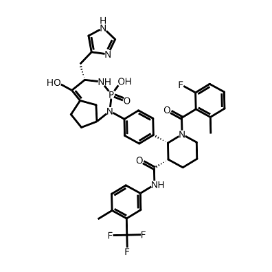 Cc1ccc(NC(=O)[C@H]2CCCN(C(=O)c3c(C)cccc3F)[C@H]2c2ccc(N3C4CC/C(=C(/O)[C@H](Cc5c[nH]cn5)NP3(=O)O)C4)cc2)cc1C(F)(F)F